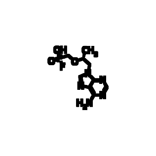 C[C@H](Cn1cnc2c(N)ncnc21)OCP(=O)(O)F